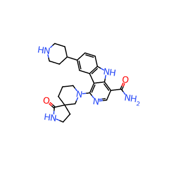 NC(=O)c1cnc(N2CCCC3(CCNC3=O)C2)c2c1[nH]c1ccc(C3CCNCC3)cc12